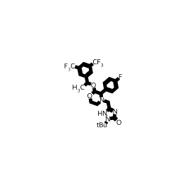 CC(OC1OCCN(Cc2nc(=O)n(C(C)(C)C)[nH]2)C1c1ccc(F)cc1)c1cc(C(F)(F)F)cc(C(F)(F)F)c1